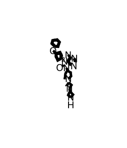 Nc1ncnc2c1n(-c1ccc(Oc3ccccc3)cc1)c(=O)n2C1CCN(C2CN(C3CNC3)C2)CC1